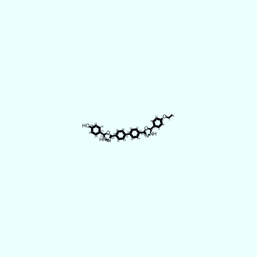 CCOc1ccc(C2NN=C(c3ccc(-c4ccc(C5=NNC(c6ccc(O)cc6)O5)cc4)cc3)O2)cc1